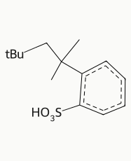 CC(C)(C)CC(C)(C)c1ccccc1S(=O)(=O)O